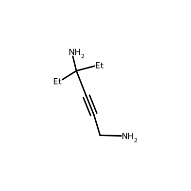 CCC(N)(C#CCN)CC